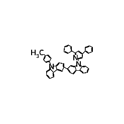 Cc1ccc(-n2c3ccccc3c3cc(-c4ccc5c6ccccc6n(-c6cc(-c7ccccc7)cc(-c7ccccc7)n6)c5c4)ccc32)cc1